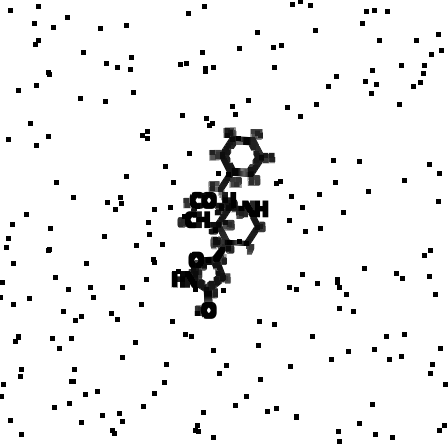 CC(=O)O.O=c1cc([C@@H]2CCN[C@@H](Cc3ccccc3)C2)o[nH]1